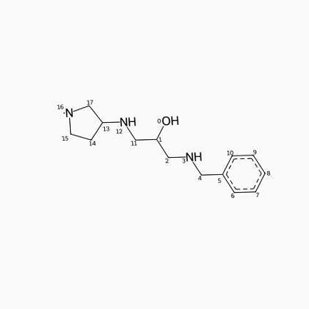 OC(CNCc1ccccc1)CNC1CC[N]C1